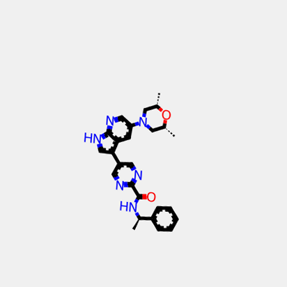 C[C@@H]1CN(c2cnc3[nH]cc(-c4cnc(C(=O)N[C@H](C)c5ccccc5)nc4)c3c2)C[C@H](C)O1